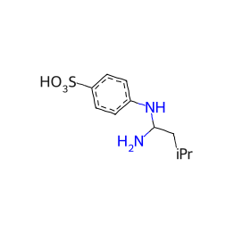 CC(C)CC(N)Nc1ccc(S(=O)(=O)O)cc1